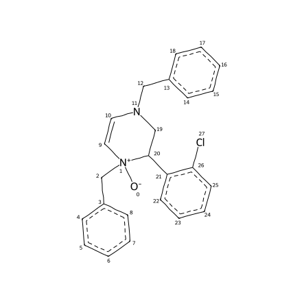 [O-][N+]1(Cc2ccccc2)C=CN(Cc2ccccc2)CC1c1ccccc1Cl